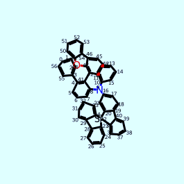 c1ccc(-c2cccc(N(c3ccccc3)c3ccc4c(c3)[Si]3(c5ccccc5-c5ccccc53)c3ccccc3-4)c2-c2cccc3c2oc2ccccc23)cc1